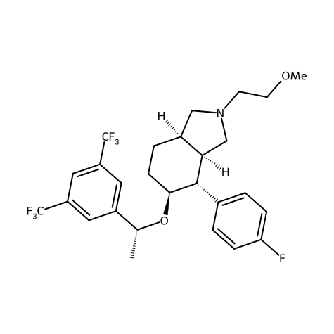 COCCN1C[C@@H]2CC[C@H](O[C@H](C)c3cc(C(F)(F)F)cc(C(F)(F)F)c3)[C@@H](c3ccc(F)cc3)[C@@H]2C1